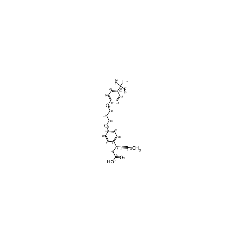 CC#CC(CC(=O)O)c1ccc(OCCCOc2ccc(C(F)(F)F)cc2)cc1